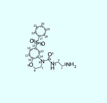 NCCNC(=O)N1CCOc2ccc(S(=O)(=O)c3ccccc3)cc21